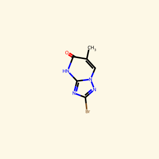 Cc1cn2nc(Br)nc2[nH]c1=O